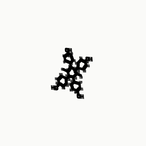 Cc1c(-c2ccc(O)cc2)c(-c2ccc(O)cc2)c(C)c(-c2ccc(O)cc2)c1-c1ccc(O)cc1